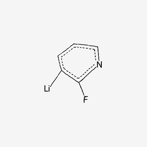 [Li][c]1cccnc1F